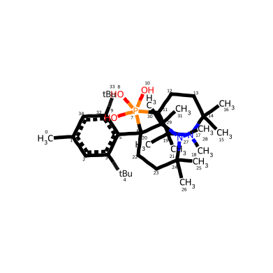 Cc1cc(C(C)(C)C)c(C2(P(O)(O)(O)C3CCC(C)(C)N(C)C3(C)C)CCC(C)(C)N(C)C2(C)C)c(C(C)(C)C)c1